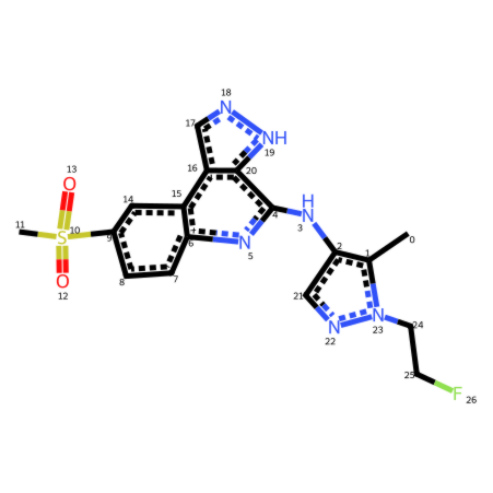 Cc1c(Nc2nc3ccc(S(C)(=O)=O)cc3c3cn[nH]c23)cnn1CCF